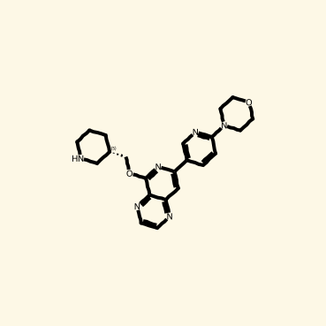 c1cnc2c(OC[C@H]3CCCNC3)nc(-c3ccc(N4CCOCC4)nc3)cc2n1